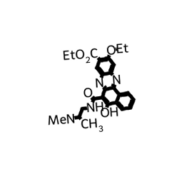 CCOC(=O)c1cc2nc3c(C(=O)NCC(C)NC)c(O)c4ccccc4c3nc2cc1OCC